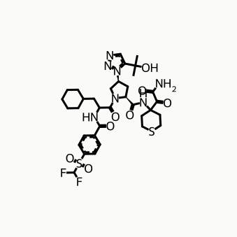 CC(C)(O)c1cnnn1[C@H]1C[C@@H](C(=O)NC2(C(=O)C(N)=O)CCSCC2)N(C(=O)C(CC2CCCCC2)NC(=O)c2ccc(S(=O)(=O)C(F)F)cc2)C1